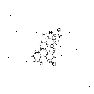 CC1(C)Oc2c(ccc(-c3cccc(Cl)c3)c2-c2ccc(Cl)cc2Cl)-c2[nH]nc(C(=O)O)c21